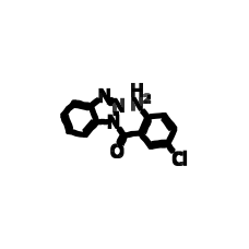 Nc1ccc(Cl)cc1C(=O)n1nnc2ccccc21